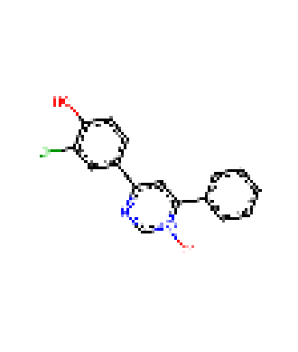 [O-][n+]1cnc(-c2ccc(O)c(Cl)c2)cc1-c1ccccc1